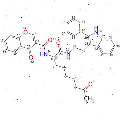 CC(=O)CCCCC[C@H](NC(=O)c1coc2ccccc2c1=O)C(=O)NCCc1c(-c2ccccc2)[nH]c2ccccc12